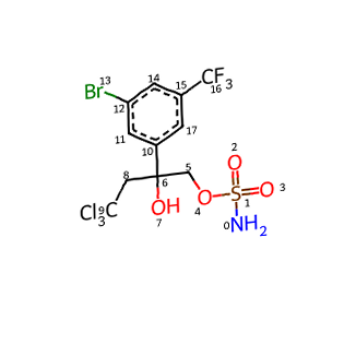 NS(=O)(=O)OCC(O)(CC(Cl)(Cl)Cl)c1cc(Br)cc(C(F)(F)F)c1